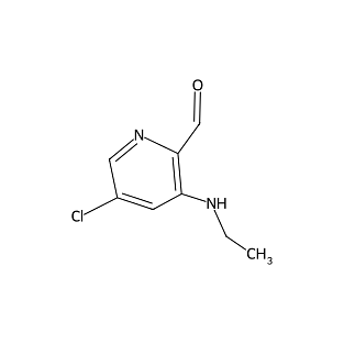 CCNc1cc(Cl)cnc1C=O